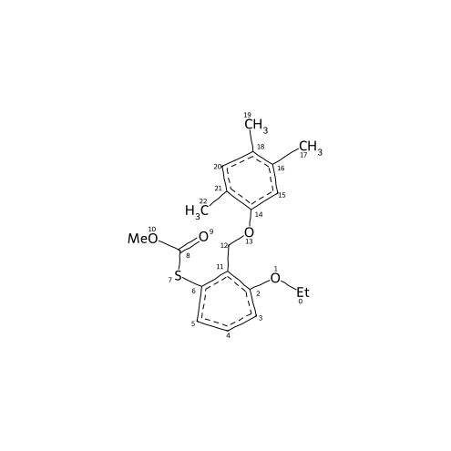 CCOc1cccc(SC(=O)OC)c1COc1cc(C)c(C)cc1C